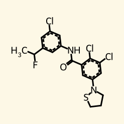 CC(F)c1cc(Cl)cc(NC(=O)c2cc(N3CCCS3)cc(Cl)c2Cl)c1